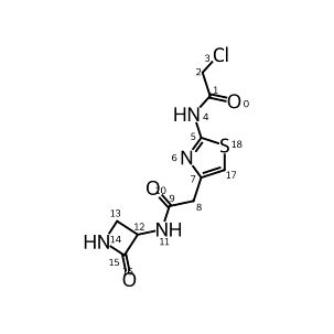 O=C(CCl)Nc1nc(CC(=O)NC2CNC2=O)cs1